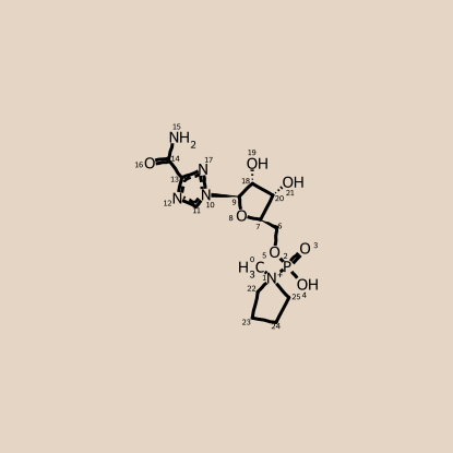 C[N+]1(P(=O)(O)OC[C@H]2O[C@@H](n3cnc(C(N)=O)n3)[C@H](O)[C@@H]2O)CCCC1